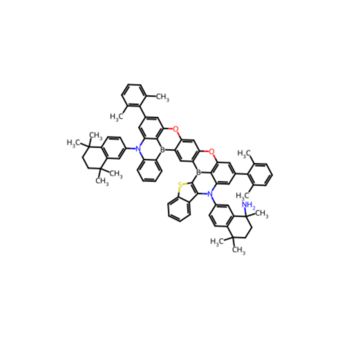 Cc1cccc(C)c1-c1cc2c3c(c1)N(c1ccc4c(c1)C(C)(C)CCC4(C)C)c1ccccc1B3c1cc3c(cc1O2)Oc1cc(-c2c(C)cccc2C)cc2c1B3c1sc3ccccc3c1N2c1ccc2c(c1)C(C)(N)CCC2(C)C